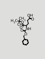 CC(C)(C)OC(=O)C(CCC(=O)O)NC(=O)OCc1ccccc1